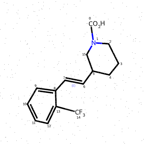 O=C(O)N1CCCC(/C=C/c2ccccc2C(F)(F)F)C1